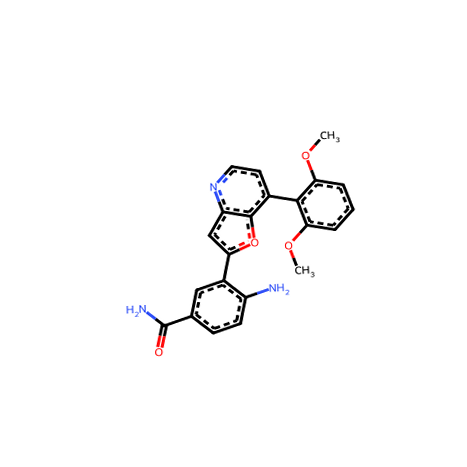 COc1cccc(OC)c1-c1ccnc2cc(-c3cc(C(N)=O)ccc3N)oc12